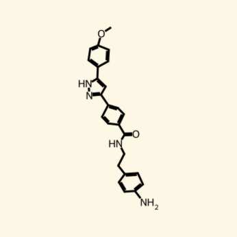 COc1ccc(-c2cc(-c3ccc(C(=O)NCCc4ccc(N)cc4)cc3)n[nH]2)cc1